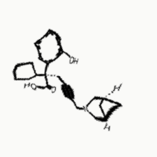 O=C(O)[C@](CC#CCN1C[C@H]2C[C@H]2C1)(c1ccccc1O)C1CCCC1